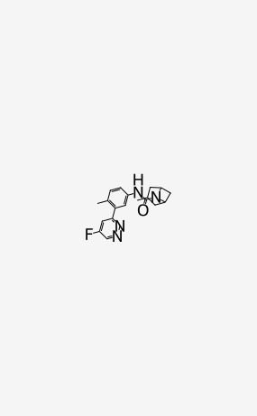 Cc1ccc(NC(=O)N2C3CC(C)CC2C3)cc1-c1cc(F)cnn1